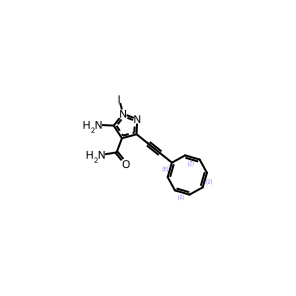 NC(=O)c1c(C#CC2=C/C=C\C=C/C=C\2)nn(I)c1N